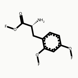 N[C@H](Cc1ccc(OF)cc1OF)C(=O)OF